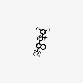 COC(=O)c1ccc(C2=NOC(c3cc(Cl)cc(Cl)c3)(C(F)(F)F)C2)c2c1CCCC2